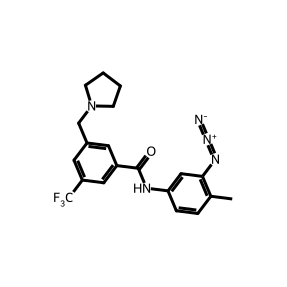 Cc1ccc(NC(=O)c2cc(CN3CCCC3)cc(C(F)(F)F)c2)cc1N=[N+]=[N-]